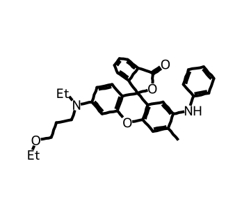 CCOCCCN(CC)c1ccc2c(c1)Oc1cc(C)c(Nc3ccccc3)cc1C21OC(=O)c2ccccc21